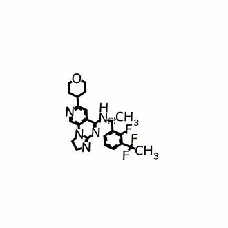 C[C@@H](NC1=NC2=NCCN2c2cnc(C3CCOCC3)cc21)c1cccc(C(C)(F)F)c1F